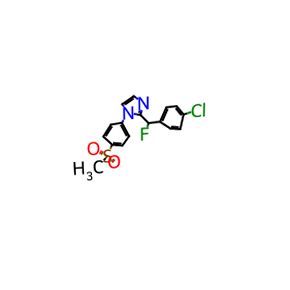 CS(=O)(=O)c1ccc(-n2ccnc2C(F)c2ccc(Cl)cc2)cc1